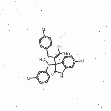 CN(c1cccc(Cl)c1)C1(/C(Sc2ccc(Cl)cc2)=C(/O)C=O)C(=O)Nc2cc(Cl)ccc21